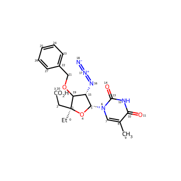 CC[C@@]1(CC(=O)O)O[C@@H](n2cc(C)c(=O)[nH]c2=O)[C@@H](N=[N+]=[N-])C1OCc1ccccc1